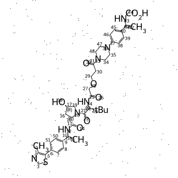 Cc1ncsc1-c1ccc([C@H](C)NC(=O)[C@@H]2C[C@@H](O)CN2C(=O)[C@@H](NC(=O)COCCC(=O)N2CCN(c3ccc([C@H](C)NC(=O)O)cc3)CC2)C(C)(C)C)cc1